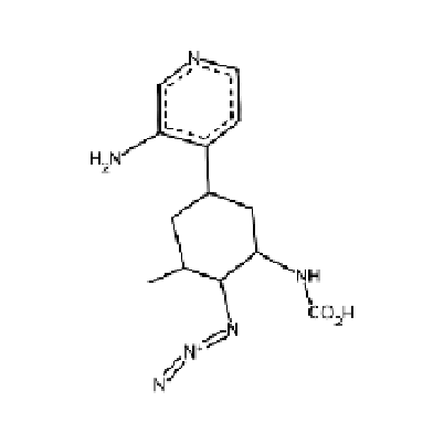 CC1CC(c2ccncc2N)CC(NC(=O)O)C1N=[N+]=[N-]